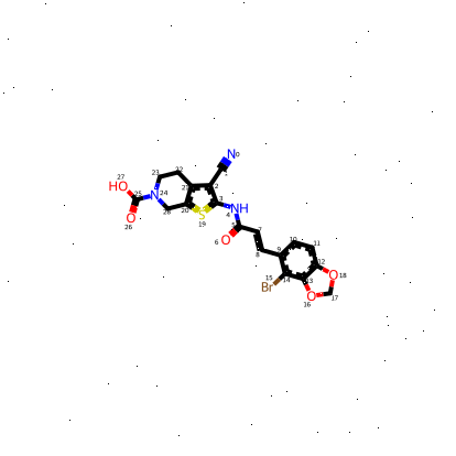 N#Cc1c(NC(=O)C=Cc2ccc3c(c2Br)OCO3)sc2c1CCN(C(=O)O)C2